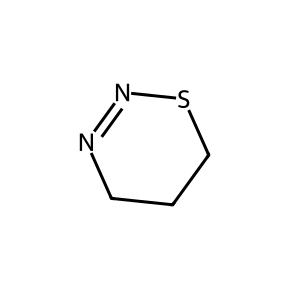 C1CN=NSC1